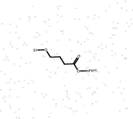 CCCCCOC(=O)CCCOCC